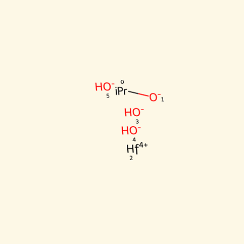 CC(C)[O-].[Hf+4].[OH-].[OH-].[OH-]